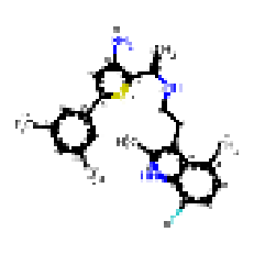 C=C(NCCc1c(C)[nH]c2c(F)ccc(C)c12)c1sc(-c2cc(C(F)(F)F)cc(C(F)(F)F)c2)cc1N